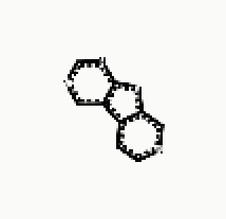 c1cc2c(cn1)sc1ncncc12